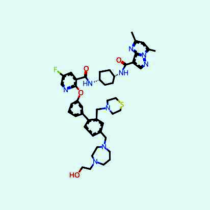 Cc1cc(C)n2ncc(C(=O)N[C@H]3CC[C@@H](NC(=O)c4cc(F)cnc4Oc4cccc(-c5ccc(CN6CCCN(CCO)CC6)cc5CN5CCSCC5)c4)CC3)c2n1